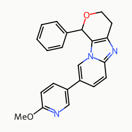 COc1ccc(-c2ccc3nc4c(n3c2)C(c2ccccc2)OCC4)cn1